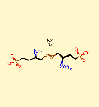 NC(CCS(=O)(=O)[O-])CSSCC(N)CCS(=O)(=O)[O-].[Na+].[Na+]